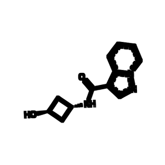 O=C(N[C@H]1C[C@H](O)C1)c1cnn2ccccc12